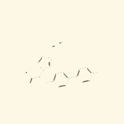 CC(C)(C)C(=O)C(Oc1ccc(-c2ccc(Cl)cc2)cc1)n1ccnc1.O=S(=O)(O)O